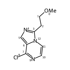 COCCc1ncc2c(Cl)nccn12